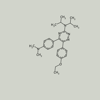 CCOc1ccc(-c2nnc(N(C(C)C)C(C)C)nc2-c2ccc(N(C)C)cc2)cc1